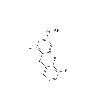 Cc1cc(NN)cnc1Oc1cccc(F)c1F